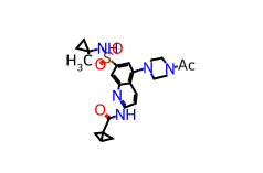 CC(=O)N1CCN(c2cc(S(=O)(=O)NC3(C)CC3)cc3nc(NC(=O)C45CC4C5)ccc23)CC1